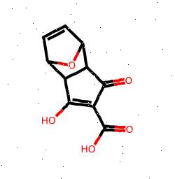 O=C(O)C1=C(O)C2C3C=CC(O3)C2C1=O